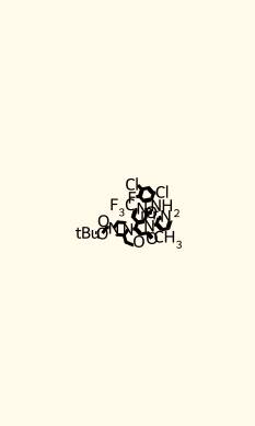 Cc1ccnc(C(C)C)c1-n1c(=O)c2c(c3cc(C(F)(F)F)n(-c4c(N)c(Cl)cc(Cl)c4F)c(=O)c31)N1CCN(C(=O)OC(C)(C)C)CC1CCO2